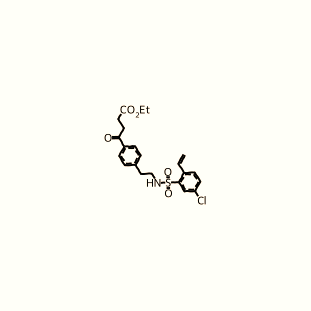 C=Cc1ccc(Cl)cc1S(=O)(=O)NCCc1ccc(C(=O)CCC(=O)OCC)cc1